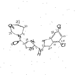 O=C(c1cnc(NC2Cc3cc(Cl)cc(Cl)c3C2)nc1)N1CCCOC1